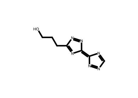 OCCCC1=NC(=C2N=CN=N2)N=N1